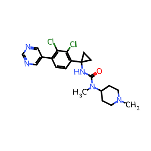 CN1CCC(N(C)C(=O)NC2(c3ccc(-c4cncnc4)c(Cl)c3Cl)CC2)CC1